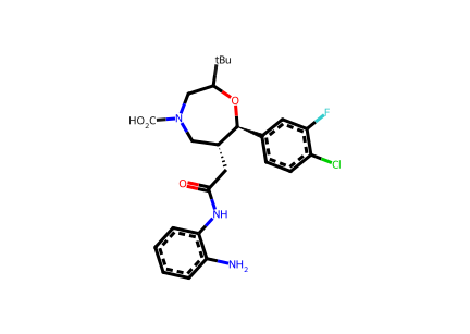 CC(C)(C)C1CN(C(=O)O)C[C@@H](CC(=O)Nc2ccccc2N)[C@H](c2ccc(Cl)c(F)c2)O1